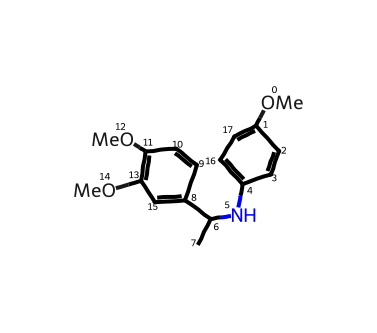 COc1ccc(NC(C)c2ccc(OC)c(OC)c2)cc1